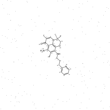 Cc1cn2c3c(c(NCCCc4ccccn4)c(F)c(N)c3c1=O)OCC2(C)C